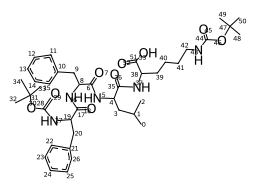 CC(C)CC(NC(=O)C(Cc1ccccc1)NC(=O)C(Cc1ccccc1)NC(=O)OC(C)(C)C)C(=O)NC(CCCCNC(=O)OC(C)(C)C)C(=O)O